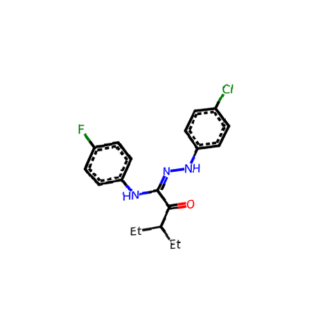 CCC(CC)C(=O)/C(=N\Nc1ccc(Cl)cc1)Nc1ccc(F)cc1